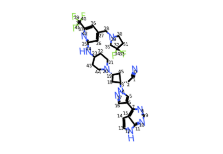 N#CC[C@]1(n2cc(-c3ncnc4[nH]ccc34)cn2)C[C@H](N2CCC(Nc3cc(CN4CCC(F)(F)C4)cc(C(F)(F)F)n3)CC2)C1